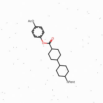 CCCCCC1CCC(C2CCC(C(=O)Oc3ccc(OC(C)=O)cc3)CC2)CC1